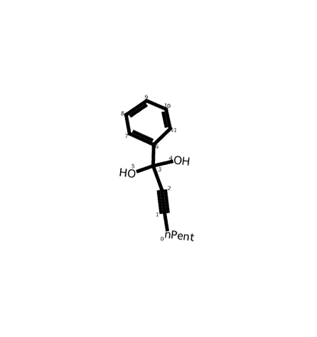 CCCCCC#CC(O)(O)c1ccccc1